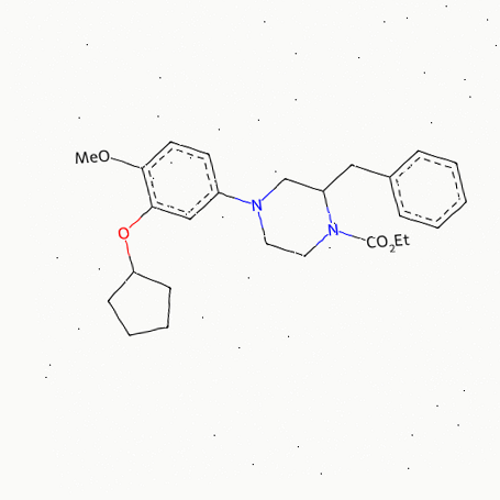 CCOC(=O)N1CCN(c2ccc(OC)c(OC3CCCC3)c2)CC1Cc1ccccc1